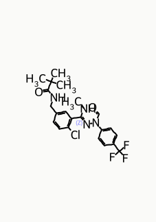 CN/C(=N\N(C=O)c1ccc(C(F)(F)F)cc1)c1cc(CNC(=O)C(C)(C)C)ccc1Cl